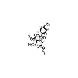 CCOC(=O)CN(C(CO)C(=O)OC)S(=O)(=O)c1ccc(OC)cc1